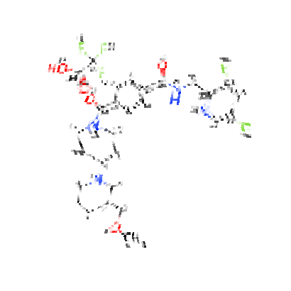 COCC1CCCN(C2CCN(C(=O)c3ccc(C(=O)NCc4ncc(F)cc4F)cc3)CC2)C1.O=C(O)C(F)(F)F